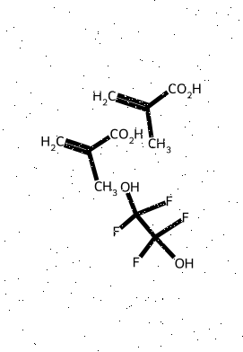 C=C(C)C(=O)O.C=C(C)C(=O)O.OC(F)(F)C(O)(F)F